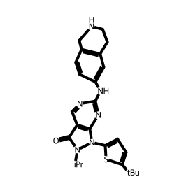 CC(C)n1c(=O)c2cnc(Nc3ccc4c(c3)CCNC4)nc2n1-c1ccc(C(C)(C)C)s1